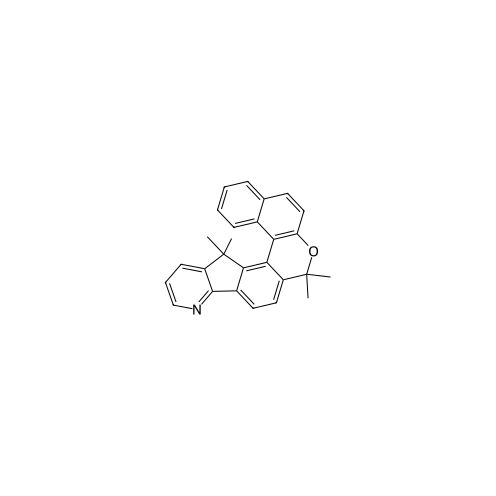 CC1(C)Oc2ccc3ccccc3c2-c2c1ccc1c2C(C)(C)c2cccnc2-1